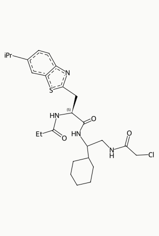 CCC(=O)N[C@@H](Cc1nc2ccc(C(C)C)cc2s1)C(=O)NC(CNC(=O)CCl)C1CCCCC1